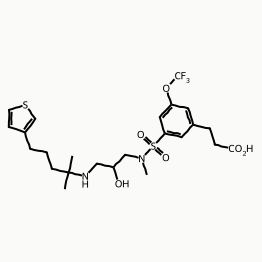 CN(CC(O)CNC(C)(C)CCCc1ccsc1)S(=O)(=O)c1cc(CCC(=O)O)cc(OC(F)(F)F)c1